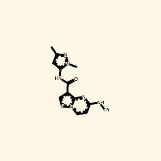 Cc1cc(NC(=O)c2cnn3ccc(NC(C)C)nc23)n(C)n1